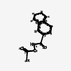 CCC(=O)ONC(=O)c1ccc2ccccc2c1